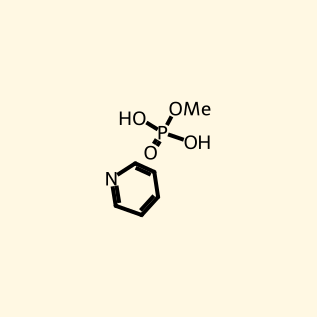 COP(=O)(O)O.c1ccncc1